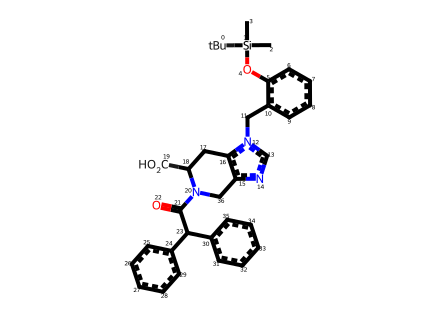 CC(C)(C)[Si](C)(C)Oc1ccccc1Cn1cnc2c1CC(C(=O)O)N(C(=O)C(c1ccccc1)c1ccccc1)C2